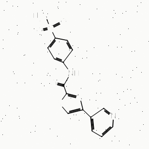 NS(=O)(=O)c1ccc(NC(=O)c2nc(-c3cccnc3)cs2)cc1